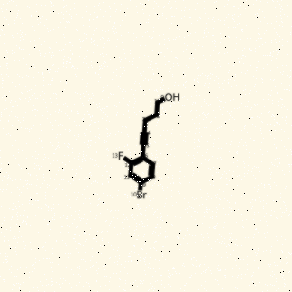 OCCCC#Cc1ccc(Br)cc1F